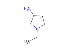 CCN1CC=C(N)C1